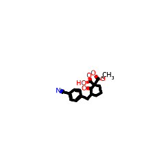 COC(=O)C1(C(=O)O)CCCC(Cc2ccc(C#N)cc2)C1=O